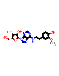 COc1cc(CCNc2ncnc3c2ncn3[C@@H]2O[C@H](CO)C(O)C2O)ccc1O